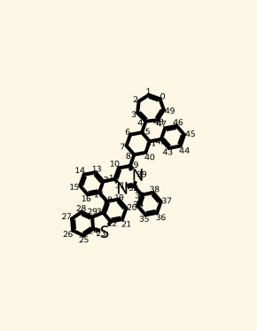 C1=CCC=C(C2CCC(c3cc(-c4ccccc4-c4cccc5sc6ccccc6c45)nc(-c4ccccc4)n3)CC2c2ccccc2)C=C1